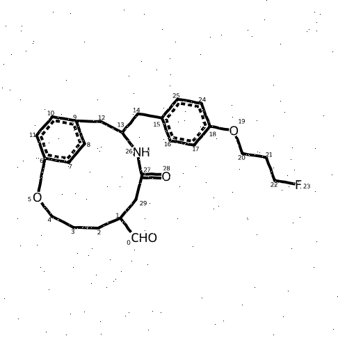 O=CC1CCCOc2ccc(cc2)CC(Cc2ccc(OCCCF)cc2)NC(=O)C1